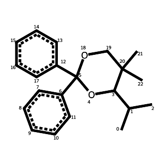 CC(C)C1OC(c2ccccc2)(c2ccccc2)OCC1(C)C